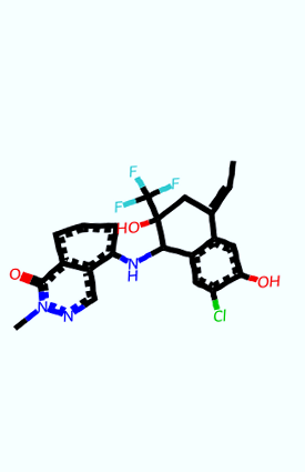 CC=C1CC(O)(C(F)(F)F)C(Nc2cccc3c(=O)n(C)ncc23)c2cc(Cl)c(O)cc21